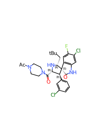 CC(=O)N1CCN(C(=O)[C@@H]2N[C@H](CC(C)(C)C)[C@]3(C(=O)Nc4cc(Cl)c(F)cc43)[C@H]2c2cccc(Cl)c2)CC1